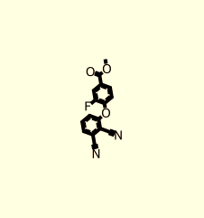 COC(=O)c1ccc(Oc2cccc(C#N)c2C#N)c(F)c1